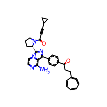 Nc1nccn2c([C@@H]3CCCN3C(=O)C#CC3CC3)nc(-c3ccc(C(=O)CCC4=C=CC=CC=C4)cc3)c12